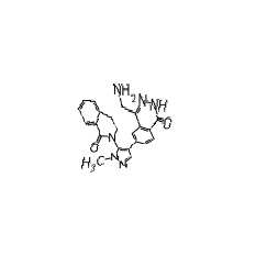 Cn1ncc(-c2ccc3c(=O)[nH]nc(CN)c3c2)c1N1CCc2ccccc2C1=O